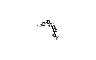 CN1CCN(c2cc(C(=O)Nc3cc4cc(-c5cncc(C(F)F)c5)ncc4cn3)ccn2)CC1